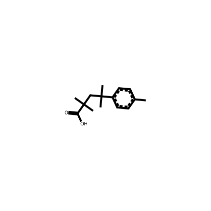 Cc1ccc(C(C)(C)CC(C)(C)C(=O)O)cc1